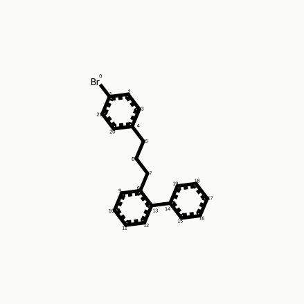 Brc1ccc(CCCc2ccccc2-c2ccccc2)cc1